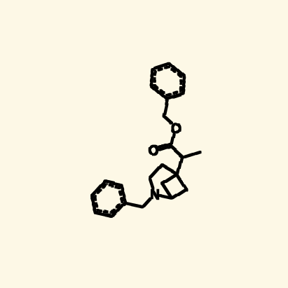 CC(C(=O)OCc1ccccc1)C12CCN(Cc3ccccc3)C(C1)C2